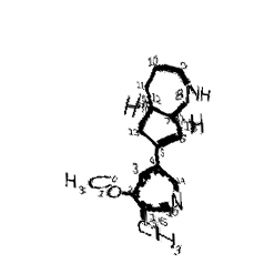 COc1cc(C2=C[C@@H]3NCCC[C@@H]3C2)cnc1C